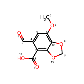 COc1cc(C=O)c(C(=O)O)c2c1OCO2